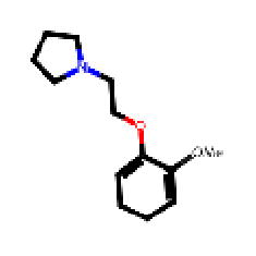 COC1=C[CH]CC=C1OCCN1CCCC1